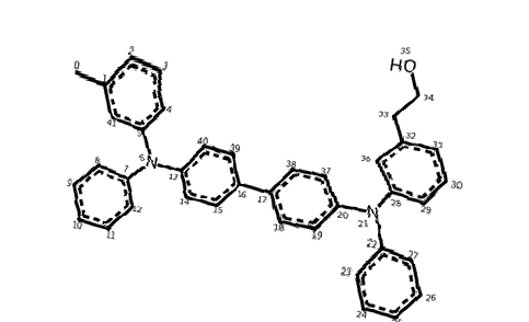 Cc1cccc(N(c2ccccc2)c2ccc(-c3ccc(N(c4ccccc4)c4cccc(CCO)c4)cc3)cc2)c1